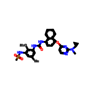 COc1c(NC(=O)Nc2ccc(Oc3ccnc(N(C)C4CC4)n3)c3ccccc23)cc(C(C)(C)C)cc1NS(C)(=O)=O